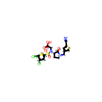 N#Cc1cc(CN2CC[C@H](N(CC(=O)O)S(=O)(=O)c3cc(Cl)c(Cl)s3)C2=O)cs1